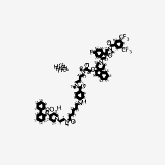 CN(CCN1CCC(N(C(=O)O)c2ccccc2-c2ccccc2)CC1)C(=O)CCCCCNc1ccc(C(=O)N(C)CCCCN(C)C(=O)CO[C@H]2Cc3ccccc3C23CCN(CC[C@@]2(c4ccc(F)cc4)CN(C(=O)c4cc(C(F)(F)F)cc(C(F)(F)F)c4)CO2)CC3)cc1.Cl.Cl.Cl